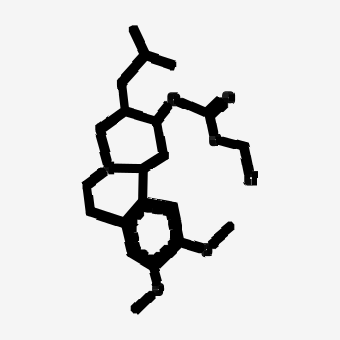 COc1cc2c(cc1OC)C1CC(OC(=O)OCCl)C(CC(C)C)CN1CC2